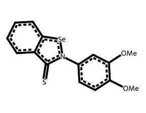 COc1ccc(-n2[se]c3ccccc3c2=S)cc1OC